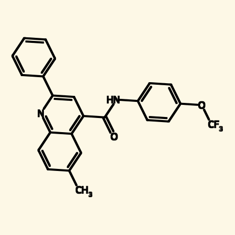 Cc1ccc2nc(-c3ccccc3)cc(C(=O)Nc3ccc(OC(F)(F)F)cc3)c2c1